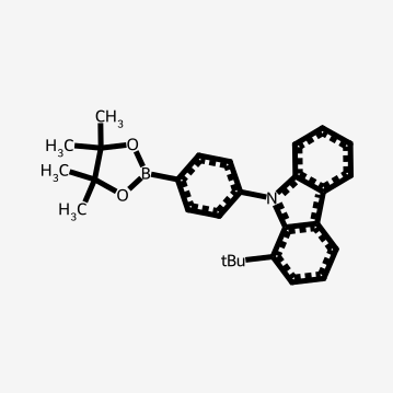 CC(C)(C)c1cccc2c3ccccc3n(-c3ccc(B4OC(C)(C)C(C)(C)O4)cc3)c12